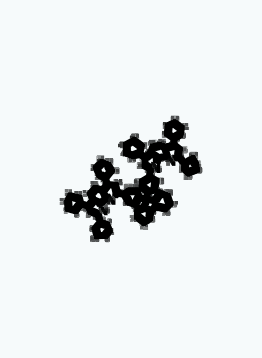 c1ccc(-c2cc(-c3ccccc3)c3ccc4c(-c5ccccc5)cc(-c5ccc(C6(c7ccc(-c8cc(-c9ccccc9)c9ccc%10c(-c%11ccccc%11)cc(-c%11ccccc%11)nc%10c9n8)cc7)c7ccccc7-c7ccccc76)cc5)nc4c3n2)cc1